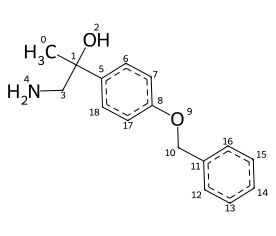 CC(O)(CN)c1ccc(OCc2ccccc2)cc1